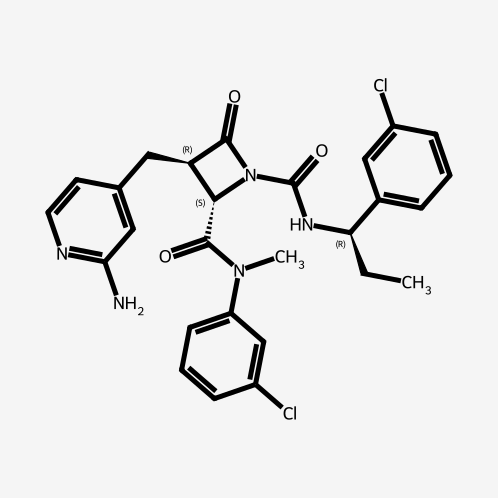 CC[C@@H](NC(=O)N1C(=O)[C@H](Cc2ccnc(N)c2)[C@H]1C(=O)N(C)c1cccc(Cl)c1)c1cccc(Cl)c1